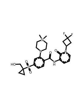 C[Si]1(C)CCN(c2cc(S(=O)(=O)C3(CO)CC3)ccc2C(=O)Nc2cccn(C3CC(F)(F)C3)c2=O)CC1